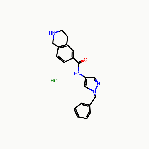 Cl.O=C(Nc1cnn(Cc2ccccc2)c1)c1ccc2c(c1)CCNC2